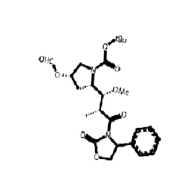 CO[C@H]([C@@H](C)C(=O)N1C(=O)OCC1c1ccccc1)[C@@H]1C[C@H](OC=O)CN1C(=O)OC(C)(C)C